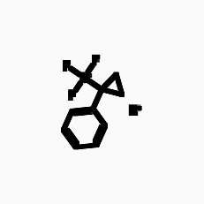 F[B-](F)(F)C1(c2ccccc2)CC1.[K+]